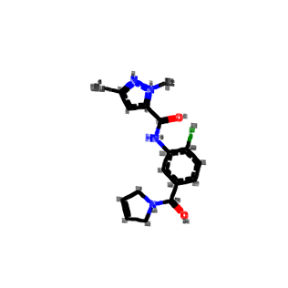 CCn1nc(C(C)(C)C)cc1C(=O)Nc1cc(C(=O)N2CC=CC2)ccc1F